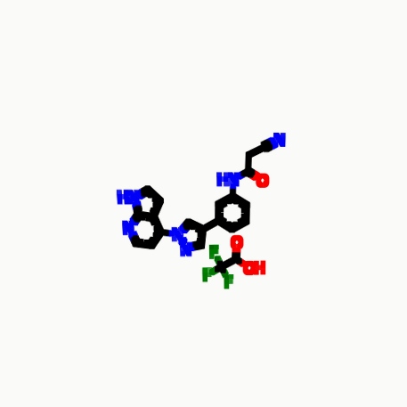 N#CCC(=O)Nc1cccc(-c2cnn(-c3ccnc4[nH]ccc34)c2)c1.O=C(O)C(F)(F)F